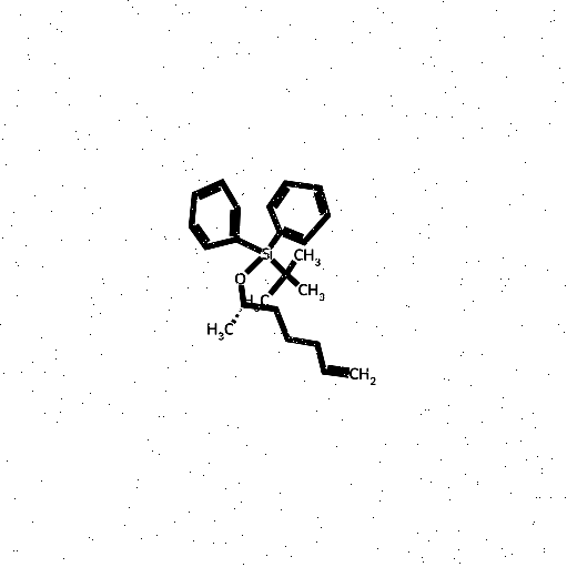 C=CCCC[C@H](C)O[Si](c1ccccc1)(c1ccccc1)C(C)(C)C